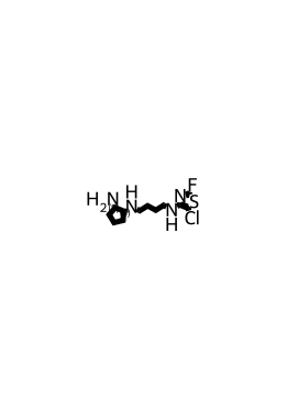 N[C@H]1CCC[C@@H]1NCCCCNc1nc(F)sc1Cl